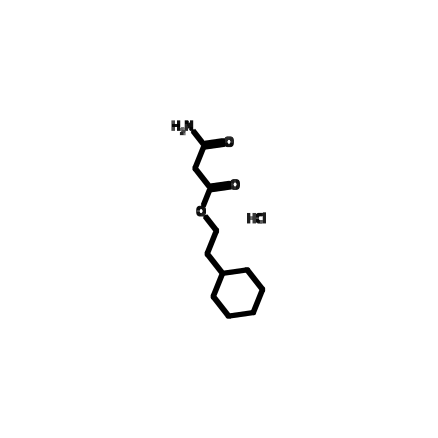 Cl.NC(=O)CC(=O)OCCC1CCCCC1